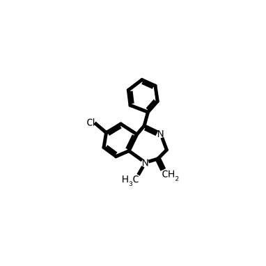 C=C1CN=C(c2ccccc2)c2cc(Cl)ccc2N1C